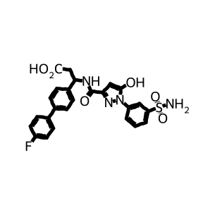 NS(=O)(=O)c1cccc(-n2nc(C(=O)NC(CC(=O)O)c3ccc(-c4ccc(F)cc4)cc3)cc2O)c1